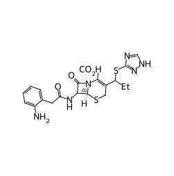 CCC(Sc1nc[nH]n1)C1=C(C(=O)O)N2C(=O)C(NC(=O)Cc3ccccc3N)[C@@H]2SC1